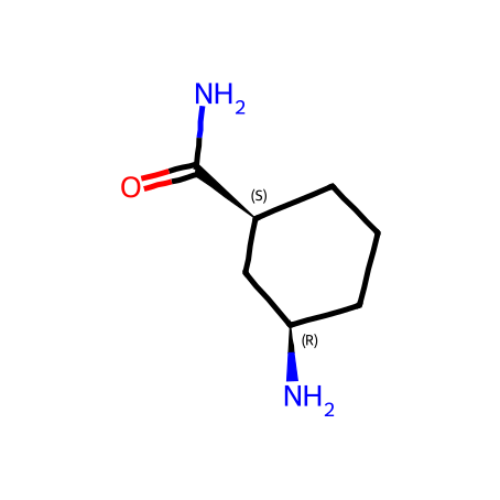 NC(=O)[C@H]1CCC[C@@H](N)C1